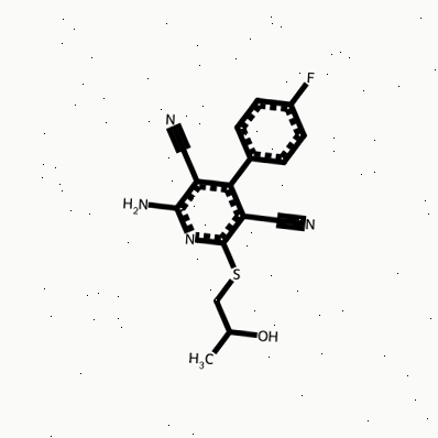 CC(O)CSc1nc(N)c(C#N)c(-c2ccc(F)cc2)c1C#N